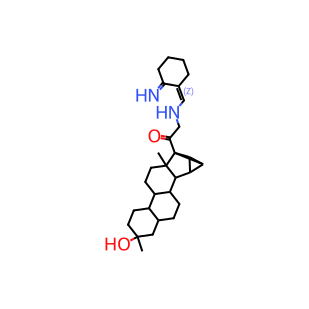 CC1(O)CCC2C(CCC3C2CCC2(C)C3C3C4C3C42C(=O)CN/C=C2/CCCCC2=N)C1